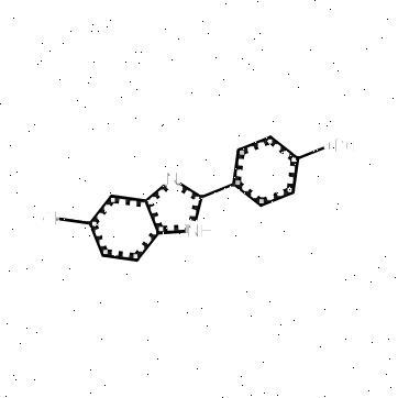 CC(C)(C)c1ccc(-c2nc3cc(Cl)ccc3[nH]2)cc1